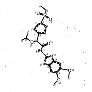 CCS(=O)(=O)c1ccc(C(OC(C)C)C(=O)Nc2nc3cc(OC)c(OC)cc3s2)cc1